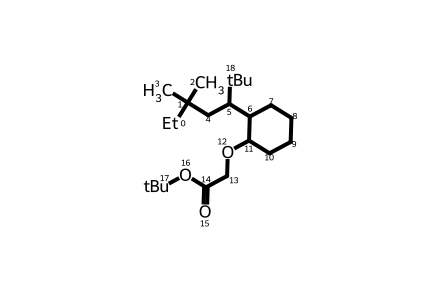 CCC(C)(C)CC(C1CCCCC1OCC(=O)OC(C)(C)C)C(C)(C)C